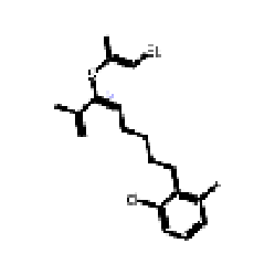 C=C(C)/C(=C\CCCCc1c(C)cccc1Cl)SC(C)=CCC